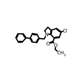 CCOC(=O)c1cc(Cl)cc2c1N(Cc1ccc(-c3ccccc3)cc1)CC2